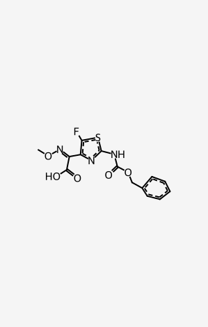 CO/N=C(\C(=O)O)c1nc(NC(=O)OCc2ccccc2)sc1F